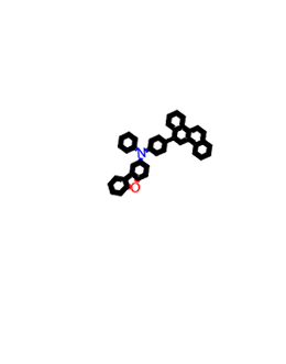 c1ccc(N(c2ccc(-c3cc4c5ccccc5ccc4c4ccccc34)cc2)c2ccc3oc4ccccc4c3c2)cc1